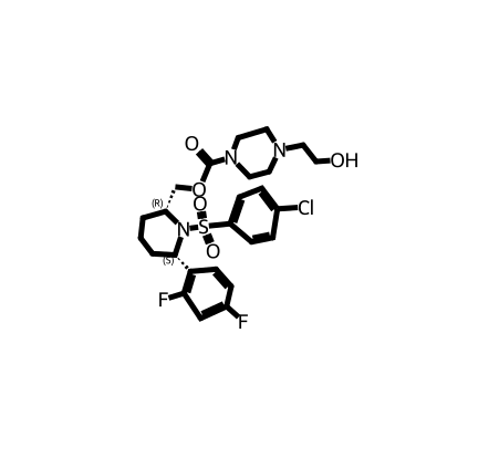 O=C(OC[C@H]1CCC[C@@H](c2ccc(F)cc2F)N1S(=O)(=O)c1ccc(Cl)cc1)N1CCN(CCO)CC1